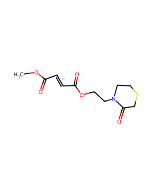 COC(=O)/C=C/C(=O)OCCN1CCSCC1=O